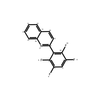 Fc1cc(F)c(F)c(-c2ccc3ccccc3n2)c1F